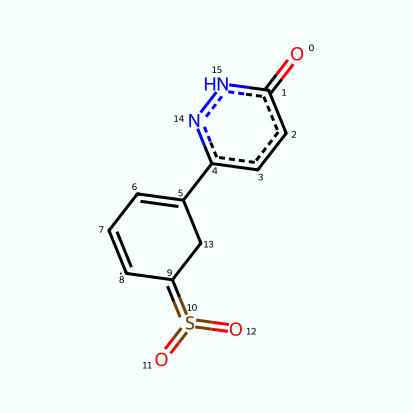 O=c1ccc(C2=CC=[C]C(=S(=O)=O)C2)n[nH]1